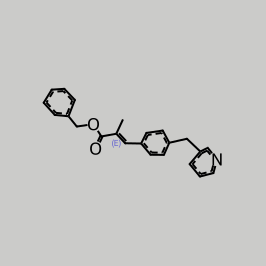 C/C(=C\c1ccc(Cc2cccnc2)cc1)C(=O)OCc1ccccc1